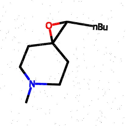 CCCCC1OC12CCN(C)CC2